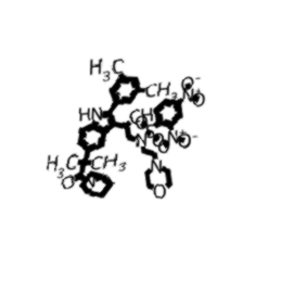 Cc1cc(C)cc(-c2[nH]c3ccc(C(C)(C)C(=O)N4C5CCC4CC5)cc3c2C(C)CN(CCN2CCOCC2)S(=O)(=O)c2ccc([N+](=O)[O-])cc2[N+](=O)[O-])c1